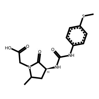 CSc1ccc(NC(=O)N[C@H]2CC(C)N(CC(=O)O)C2=O)cc1